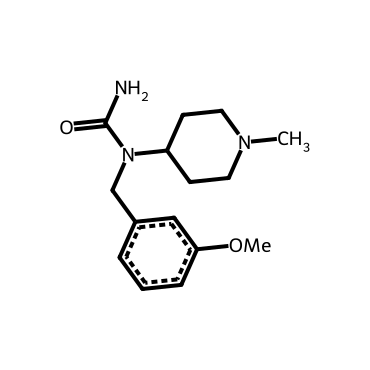 COc1cccc(CN(C(N)=O)C2CCN(C)CC2)c1